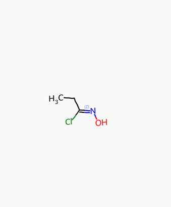 CC/C(Cl)=N/O